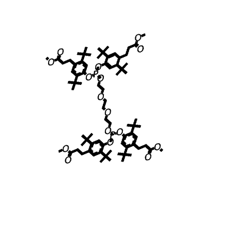 COC(=O)CCc1cc(C(C)(C)C)c(OP(OCCOCCOCCOP(Oc2cc(C(C)(C)C)c(CCC(=O)OC)cc2C(C)(C)C)Oc2cc(C(C)(C)C)c(CCC(=O)OC)cc2C(C)(C)C)OC2=CC(C(C)(C)C)C(CCC(=O)OC)C=C2C(C)(C)C)cc1C(C)(C)C